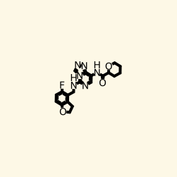 O=C(Nc1cnc(NCc2c(F)ccc3c2CCO3)n2cnnc12)C1CCCCO1